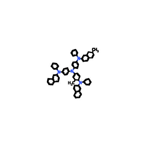 CC1C=Cc2ccc(N(c3ccccc3)c3ccc(N(C4=CC(C)C(N(c5ccccc5)c5ccc6ccccc6c5)C=C4)c4ccc(N(c5ccccc5)c5ccc6ccccc6c5)cc4)cc3)cc2C1